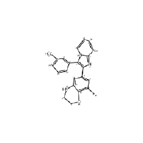 Cc1cc(-c2c(-c3cc(F)c4c(c3)NCCO4)nc3ncccn23)ccn1